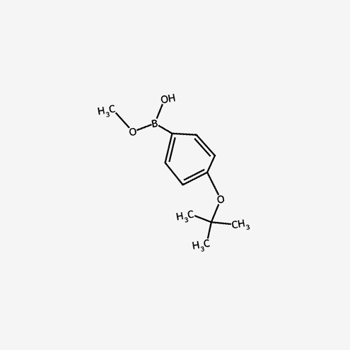 COB(O)c1ccc(OC(C)(C)C)cc1